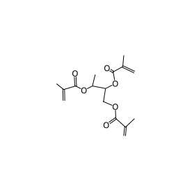 C=C(C)C(=O)OCC(OC(=O)C(=C)C)C(C)OC(=O)C(=C)C